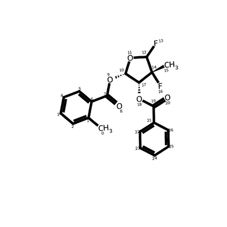 Cc1ccccc1C(=O)O[C@@H]1OC(F)[C@](C)(F)[C@@H]1OC(=O)c1ccccc1